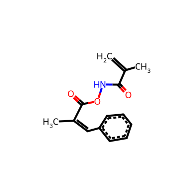 C=C(C)C(=O)NOC(=O)C(C)=Cc1ccccc1